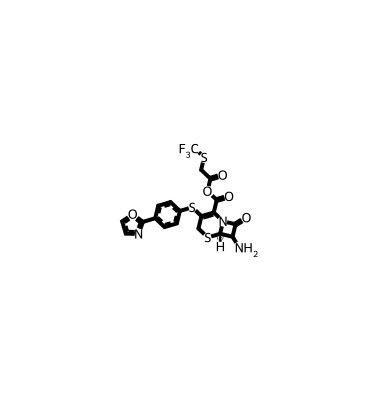 NC1C(=O)N2C(C(=O)OC(=O)CSC(F)(F)F)=C(Sc3ccc(-c4ncco4)cc3)CS[C@@H]12